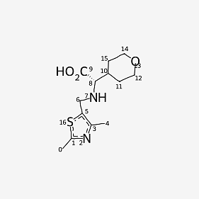 Cc1nc(C)c(CN[C@H](C(=O)O)C2CCOCC2)s1